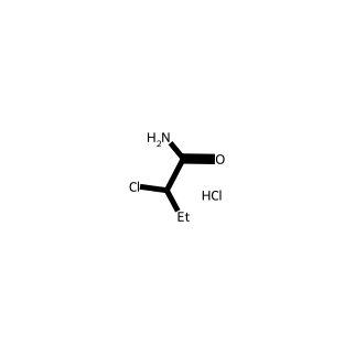 CCC(Cl)C(N)=O.Cl